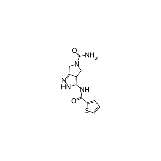 NC(=O)N1Cc2n[nH]c(NC(=O)c3cccs3)c2C1